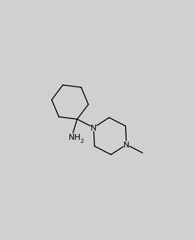 CN1CCN(C2(N)CCCCC2)CC1